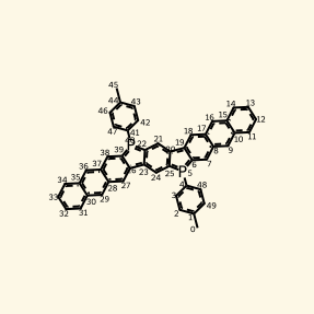 Cc1ccc(-p2c3cc4cc5ccccc5cc4cc3c3cc4c(cc32)c2cc3cc5ccccc5cc3cc2p4-c2ccc(C)cc2)cc1